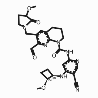 COC1CCN(Cc2cc3c(nc2C=O)N(C(=O)Nc2cc(N[C@@H]4CC[C@@H]4OC)c(C#N)cn2)CCC3)C1=O